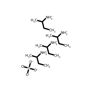 CCC(C)[NH3+].CCC(C)[NH3+].CCC(C)[NH3+].CCC(C)[NH3+].[O-][Ti]([O-])([O-])[O-]